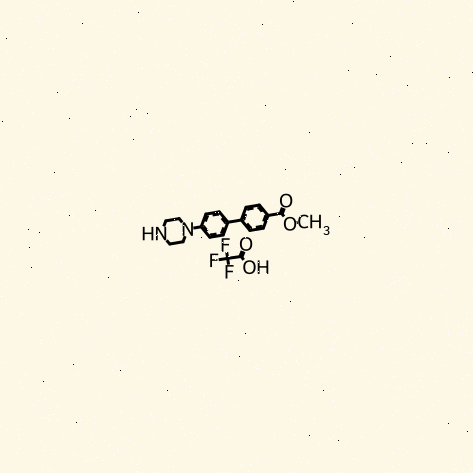 COC(=O)c1ccc(-c2ccc(N3CCNCC3)cc2)cc1.O=C(O)C(F)(F)F